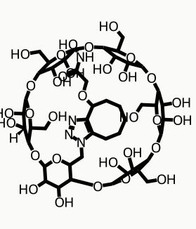 O=C(COC1CCCCCc2c1nnn2CC1OC2OC3C(CO)OC(OC4C(CO)OC(OC5C(CO)OC(OC6C(CO)OC(OC7C(CO)OC(OC1C(O)C2O)C(O)C7O)C(O)C6O)C(O)C5O)C(O)C4O)C(O)[C@H]3O)NO